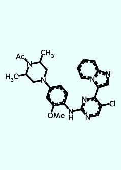 COc1cc(N2CC(C)N(C(C)=O)C(C)C2)ccc1Nc1ncc(Cl)c(-c2cnc3ccccn23)n1